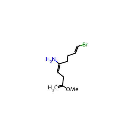 C=C(C/C=C(/N)CC/C=C/Br)OC